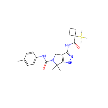 Cc1ccc(NC(=O)N2Cc3c(NC(=O)C4(S(C)(C)C)CCC4)n[nH]c3C2(C)C)cc1